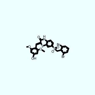 COc1cc(O)cc(OC)c1C=C1Sc2cc(S(=O)(=O)Cc3c(Br)cccc3Br)ccc2NC1=O